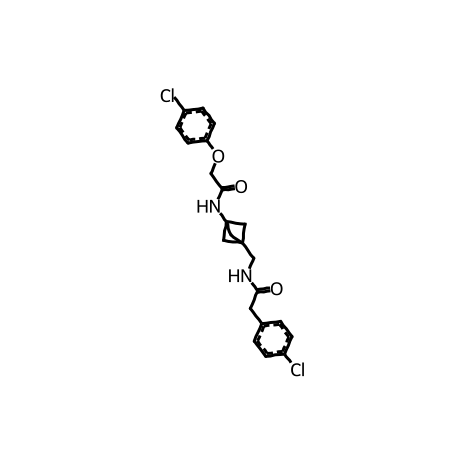 O=C(Cc1ccc(Cl)cc1)NCC12CC(NC(=O)COc3ccc(Cl)cc3)(C1)C2